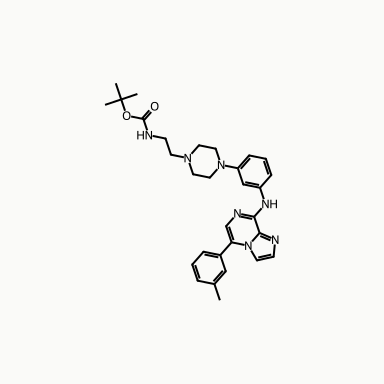 Cc1cccc(-c2cnc(Nc3cccc(N4CCN(CCNC(=O)OC(C)(C)C)CC4)c3)c3nccn23)c1